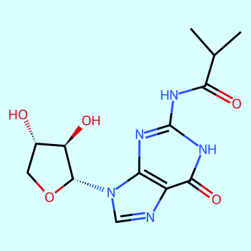 CC(C)C(=O)Nc1nc2c(ncn2[C@@H]2OC[C@H](O)[C@H]2O)c(=O)[nH]1